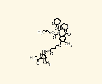 C=CCOC(=O)N1c2cc(OCCCC(=O)Nc3cn(C)c(C(C)=O)n3)c(C)cc2C(=O)N2CCCC[C@H]2C1OC1CCCCO1